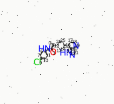 C[C@@H](C(=O)Nc1ccc(Cl)cc1)[C@H]1CC[C@@H](c2ccnc3cn[nH]c32)CC1